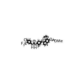 COCCOc1cc2nccc(Oc3ccc(NC(=O)Nc4ccc(Cl)c(C(F)(F)F)c4)c(F)c3)c2c2c1OCCO2